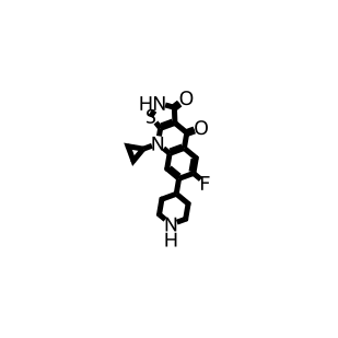 O=c1[nH]sc2c1c(=O)c1cc(F)c(C3CCNCC3)cc1n2C1CC1